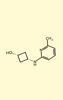 Cc1cccc(N[C@H]2C[C@@H](O)C2)n1